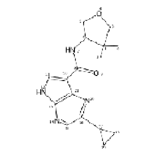 CC1(C)COCC1NC(=O)c1c[nH]c2ncc(C3CC3)nc12